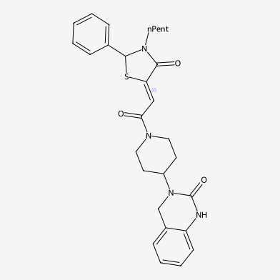 CCCCCN1C(=O)/C(=C/C(=O)N2CCC(N3Cc4ccccc4NC3=O)CC2)SC1c1ccccc1